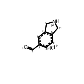 Cl.O=Cc1ccc2c(c1)CNC2